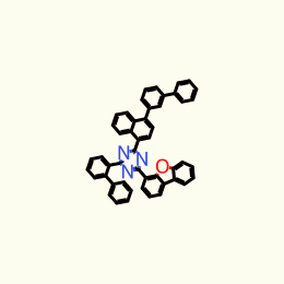 c1ccc(-c2cccc(-c3ccc(-c4nc(-c5ccccc5-c5ccccc5)nc(-c5cccc6c5oc5ccccc56)n4)c4ccccc34)c2)cc1